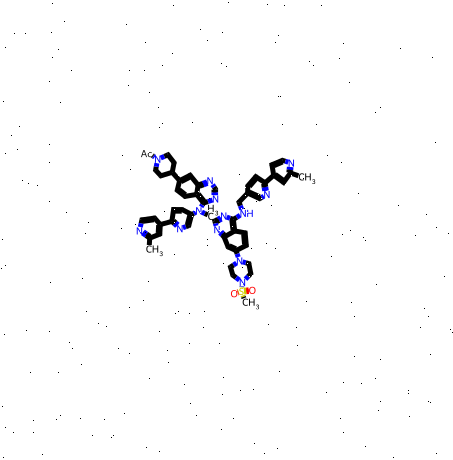 CC(=O)N1CCC(c2ccc3c(N(C)c4ccc(-c5ccnc(C)c5)nc4)ncnc3c2)CC1.Cc1cc(-c2ccc(CNc3ncnc4cc(N5CCN(S(C)(=O)=O)CC5)ccc34)cn2)ccn1